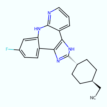 N#CC[C@H]1CC[C@H](c2nc3c([nH]2)-c2cccnc2Nc2cc(F)ccc2-3)CC1